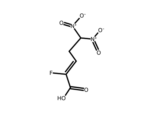 O=C(O)C(F)=CCC([N+](=O)[O-])[N+](=O)[O-]